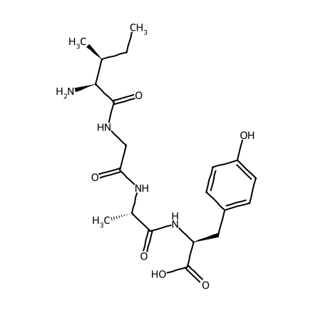 CC[C@H](C)[C@H](N)C(=O)NCC(=O)N[C@@H](C)C(=O)N[C@@H](Cc1ccc(O)cc1)C(=O)O